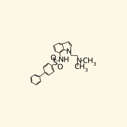 CN(C)CCn1ccc2cccc(NS(=O)(=O)c3ccc(-c4ccccc4)cc3)c21